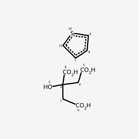 O=C(O)CC(O)(CC(=O)O)C(=O)O.c1ccsc1